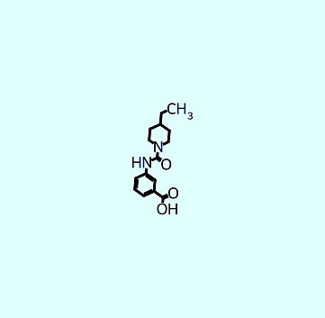 CCC1CCN(C(=O)Nc2cccc(C(=O)O)c2)CC1